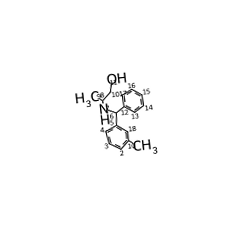 Cc1cccc(C(NC(C)CO)c2ccccc2)c1